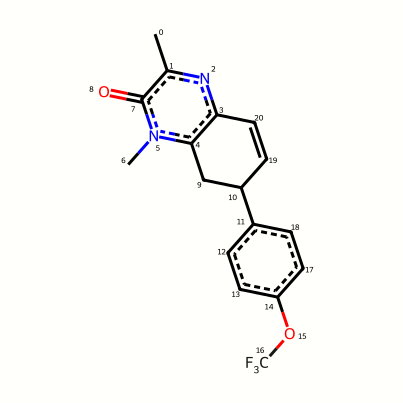 Cc1nc2c(n(C)c1=O)CC(c1ccc(OC(F)(F)F)cc1)C=C2